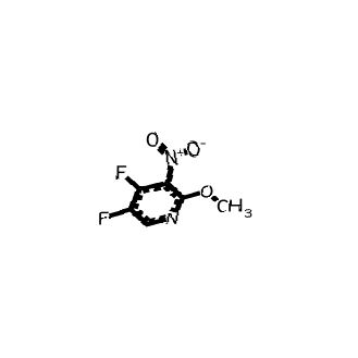 COc1ncc(F)c(F)c1[N+](=O)[O-]